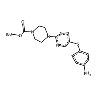 CC(C)(C)OC(=O)N1CCN(c2ncc(Sc3ccc(P)cc3)cn2)CC1